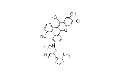 CC1CCCN1C(C)CN(C)c1ccc(C2Oc3cc(Cl)c(O)cc3C(C3CC3)=C2c2cccc(C#N)c2)cc1